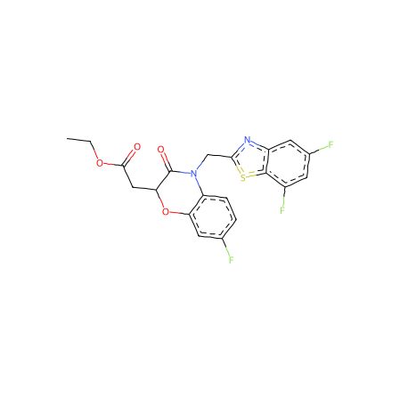 CCOC(=O)CC1Oc2cc(F)ccc2N(Cc2nc3cc(F)cc(F)c3s2)C1=O